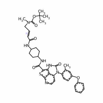 Cc1cc(Oc2ccccc2)ccc1N1C(=O)Nc2c(C(=O)NC3CCC(NC(=O)/C=C/CN(C)C(=O)OC(C)(C)C)CC3)sc3nccc1c23